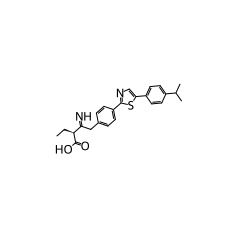 CC[C@@H](C(=N)Cc1ccc(-c2ncc(-c3ccc(C(C)C)cc3)s2)cc1)C(=O)O